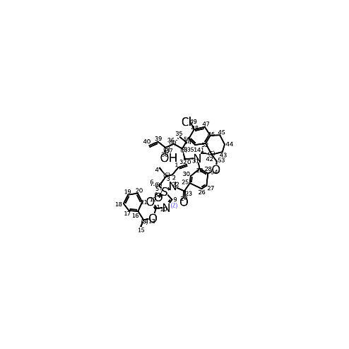 C=CC[C@H](C)[C@@H](C)S(=O)(/C=N\C(=O)O[C@@H](C)c1ccccc1)=NC(=O)c1ccc2c(c1)N(C[C@@H]1CC[C@H]1[C@@H](O)C=C)C[C@@]1(CCCc3cc(Cl)ccc31)CO2